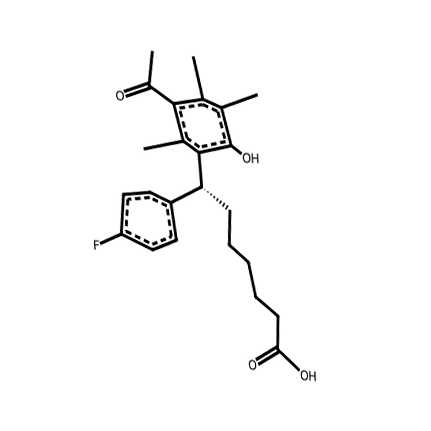 CC(=O)c1c(C)c(C)c(O)c([C@H](CCCCCC(=O)O)c2ccc(F)cc2)c1C